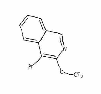 CC(C)c1c(OC(F)(F)F)ncc2ccccc12